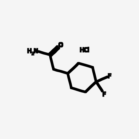 Cl.NC(=O)CC1CCC(F)(F)CC1